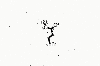 CCCCCC([O])OCC